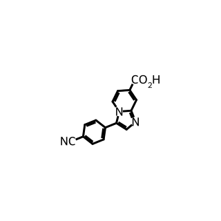 N#Cc1ccc(-c2cnc3cc(C(=O)O)ccn23)cc1